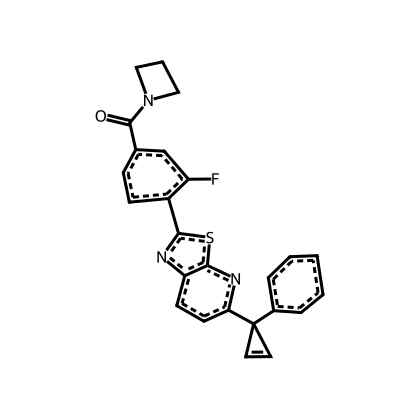 O=C(c1ccc(-c2nc3ccc(C4(c5ccccc5)C=C4)nc3s2)c(F)c1)N1CCC1